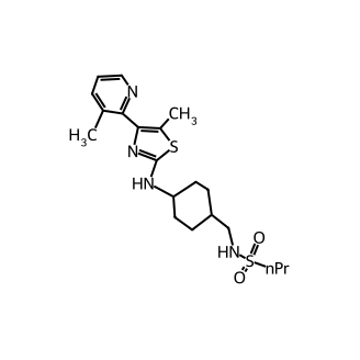 CCCS(=O)(=O)NCC1CCC(Nc2nc(-c3ncccc3C)c(C)s2)CC1